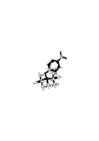 CN(C)c1cc[n+](CC(O)(P(=O)(O)O)P(=O)(O)O)cc1